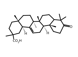 CC1(C(=O)O)CC[C@]2(C)CC[C@]3(C)C(=CC[C@@H]4[C@@]5(C)CCC(=O)C(C)(C)C5CC[C@]43C)[C@H]2C1